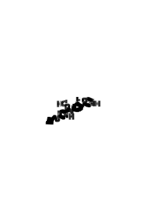 Cl.O=C(Nc1ccc([C@H]2CNCCO2)c(F)c1)c1cnc(OCC2CCC2)cn1